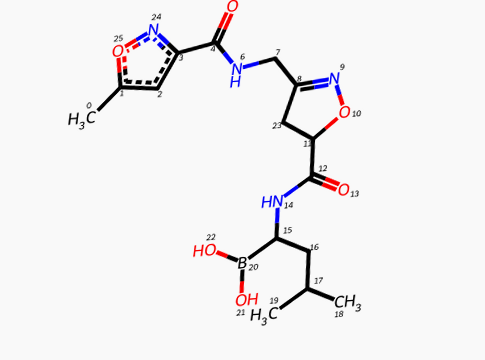 Cc1cc(C(=O)NCC2=NOC(C(=O)NC(CC(C)C)B(O)O)C2)no1